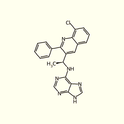 C[C@H](Nc1ncnc2[nH]cnc12)c1cc2cccc(Cl)c2nc1-c1ccccc1